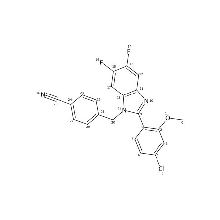 COc1cc(Cl)ccc1-c1nc2cc(F)c(F)cc2n1Cc1ccc(C#N)cc1